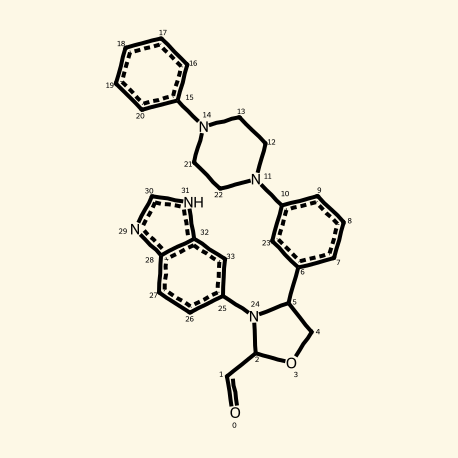 O=CC1OCC(c2cccc(N3CCN(c4ccccc4)CC3)c2)N1c1ccc2nc[nH]c2c1